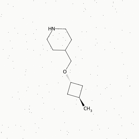 C[C@H]1C[C@H](OCC2CCNCC2)C1